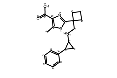 Cc1sc(C2(CNC3CC3c3ccccc3)CCC2)nc1C(=O)O